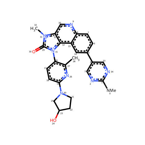 CNc1ncc(-c2ccc3ncc4c(c3c2)n(-c2ccc(N3CCC(O)C3)nc2C)c(=O)n4C)cn1